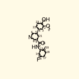 COc1cc(-c2cncc(C(=O)Nc3cc(F)ccc3C)c2)ccc1O